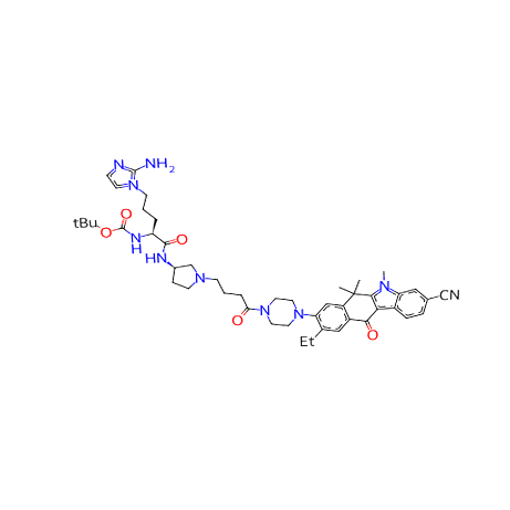 CCc1cc2c(cc1N1CCN(C(=O)CCCN3CC[C@@H](NC(=O)[C@H](CCCn4ccnc4N)NC(=O)OC(C)(C)C)C3)CC1)C(C)(C)c1c(c3ccc(C#N)cc3n1C)C2=O